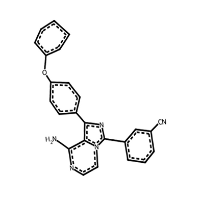 N#Cc1cccc(-c2nc(-c3ccc(Oc4ccccc4)cc3)c3c(N)nccn23)c1